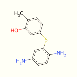 Cc1ccc(Sc2cc(N)ccc2N)cc1O